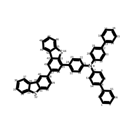 c1ccc(-c2ccc(N(c3ccc(-c4ccccc4)cc3)c3ccc(-c4cc(-c5ccc6sc7ccccc7c6c5)cc5c4sc4ccccc45)cc3)cc2)cc1